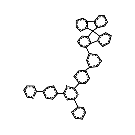 c1ccc(-c2nc(-c3ccc(-c4cccc(-c5cccc6c5-c5ccccc5C65c6ccccc6-c6ccccc65)c4)cc3)nc(-c3ccc(-c4ccccn4)cc3)n2)cc1